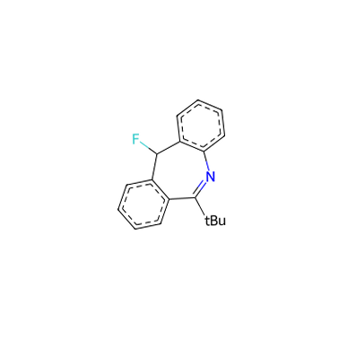 CC(C)(C)C1=Nc2ccccc2C(F)c2ccccc21